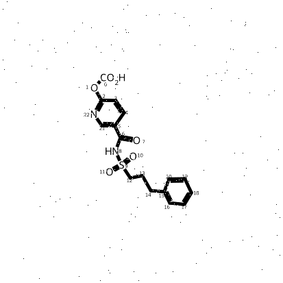 O=C(O)Oc1ccc(C(=O)NS(=O)(=O)CCCc2ccccc2)cn1